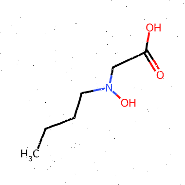 CCCCN(O)CC(=O)O